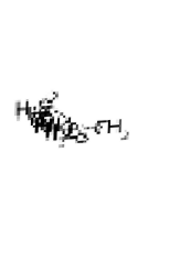 CCCCCC(C)(CC(O)CCCCCC(C)(CC(O)S(N)(=O)=O)c1ccccc1)c1ccccc1